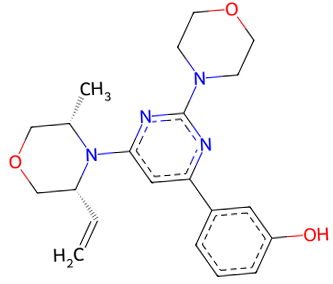 C=C[C@@H]1COC[C@H](C)N1c1cc(-c2cccc(O)c2)nc(N2CCOCC2)n1